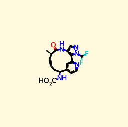 C[C@@H]1C=CC[C@H](NC(=O)O)c2ccnc(c2)-c2c(cnn2C(F)F)NC1=O